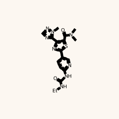 CCNC(=O)Nc1ccc(-c2nc(-c3ncnn3C)c(C(=O)N(C)C)s2)cn1